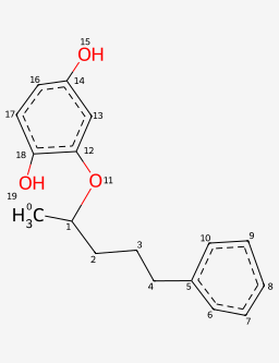 CC(CCCc1ccccc1)Oc1cc(O)ccc1O